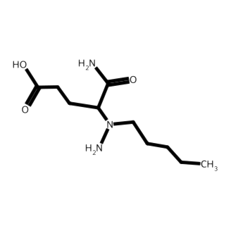 CCCCCN(N)C(CCC(=O)O)C(N)=O